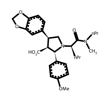 CCC[C@H](C(=O)N(C)CCC)N1C[C@H](c2ccc3c(c2)OCO3)[C@H](C(=O)O)[C@H]1c1ccc(OC)cc1